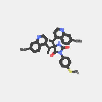 COc1ccc2c(C(C)C3(C(C)c4ccnc5cc(OC)ccc45)NC(=O)N(c4ccc(SC(F)(F)F)cc4)C3=O)ccnc2c1